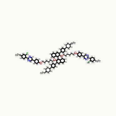 CCCc1ccc(-c2ncc(-c3ccc(OCCCCCCOc4c(-c5ccc(C6CCC(CCC)CC6)cc5)cc5ccccc5c4-c4c(OCCCCCCOc5ccc(-c6cnc(-c7ccc(CCC)cc7F)nc6)cc5)c(-c5ccc(C6CCC(CCC)CC6)cc5)cc5ccccc45)cc3)cn2)c(F)c1